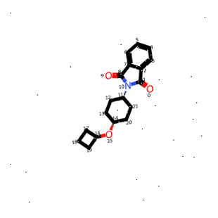 O=C1c2ccccc2C(=O)N1[C@H]1CC[C@H](OC2CCC2)CC1